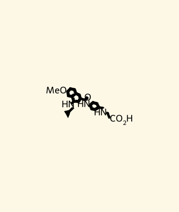 COc1ccc2cc(C(=O)Nc3ccc(CNCCC(=O)O)cc3)cc(NCC3CC3)c2c1